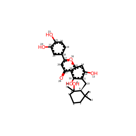 CC1(C)CCCC(C)(O)[C@H]1Cc1c(O)cc2oc(-c3ccc(O)c(O)c3)cc(=O)c2c1O